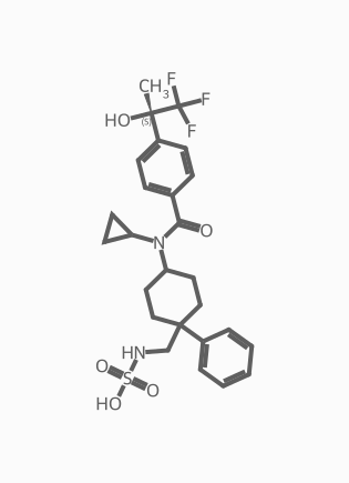 C[C@](O)(c1ccc(C(=O)N(C2CC2)C2CCC(CNS(=O)(=O)O)(c3ccccc3)CC2)cc1)C(F)(F)F